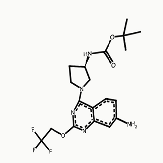 CC(C)(C)OC(=O)N[C@@H]1CCN(c2nc(OCC(F)(F)F)nc3cc(N)ccc23)C1